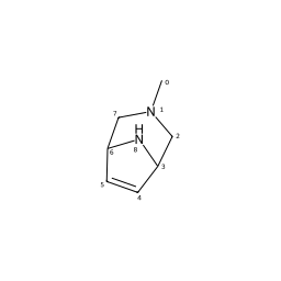 CN1CC2C=CC(C1)N2